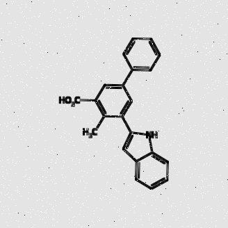 Cc1c(C(=O)O)cc(-c2ccccc2)cc1-c1cc2ccccc2[nH]1